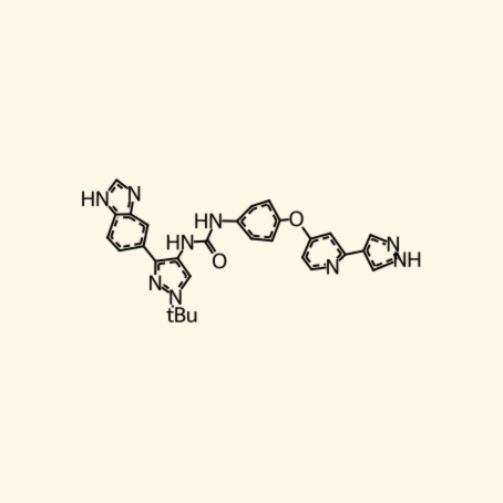 CC(C)(C)n1cc(NC(=O)Nc2ccc(Oc3ccnc(-c4cn[nH]c4)c3)cc2)c(-c2ccc3[nH]cnc3c2)n1